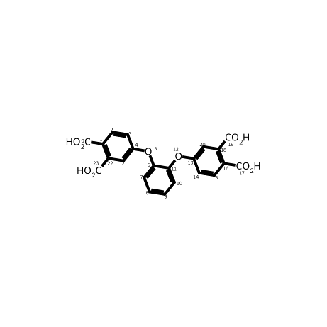 O=C(O)c1ccc(Oc2ccccc2Oc2ccc(C(=O)O)c(C(=O)O)c2)cc1C(=O)O